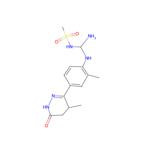 Cc1cc(C2=NNC(=O)CC2C)ccc1NC(N)NS(C)(=O)=O